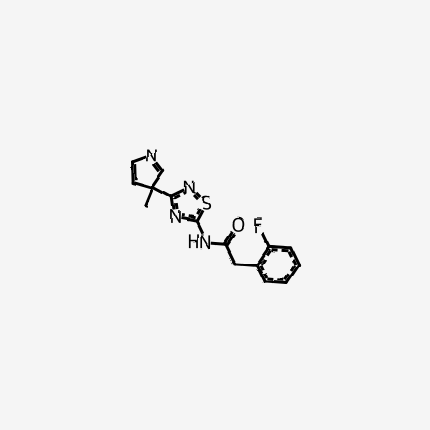 CC1(c2nsc(NC(=O)Cc3ccccc3F)n2)C=CN=C1